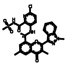 Cc1cc([C@@H](C)Nc2ccc(Cl)nc2C(=O)NS(C)(=O)=O)c2oc(-c3nn(C)c4ccccc34)c(C)c(=O)c2c1